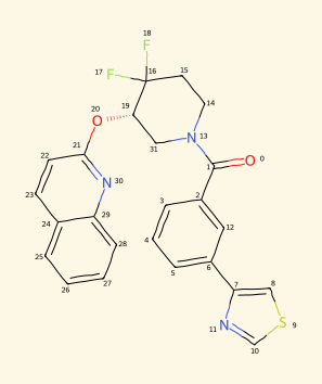 O=C(c1cccc(-c2cscn2)c1)N1CCC(F)(F)[C@@H](Oc2ccc3ccccc3n2)C1